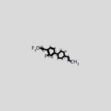 C/C=C/C1CCC(c2ccc(C#CC(F)(F)F)c(F)c2)CC1